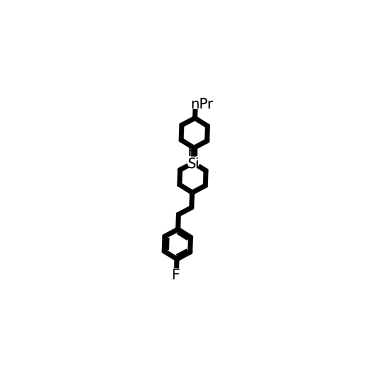 CCCC1CCC([SiH]2CCC(CCc3ccc(F)cc3)CC2)CC1